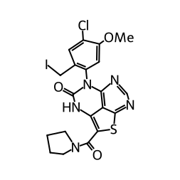 COc1cc(N2C(=O)Nc3c(C(=O)N4CCCC4)sc4ncnc2c34)c(CI)cc1Cl